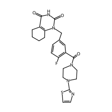 O=C(c1cc(Cn2c3c(c(=O)[nH]c2=O)CCCC3)ccc1F)N1CCN(c2nccs2)CC1